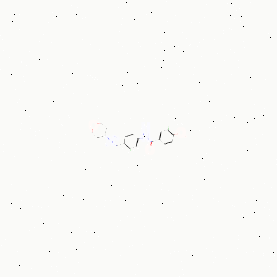 COc1ccc(C(=O)Nc2ccc(C[N+](C)(C)C3CCOCC3)cc2)cc1Cl.[Cl-]